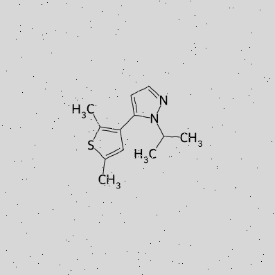 Cc1cc(-c2ccnn2C(C)C)c(C)s1